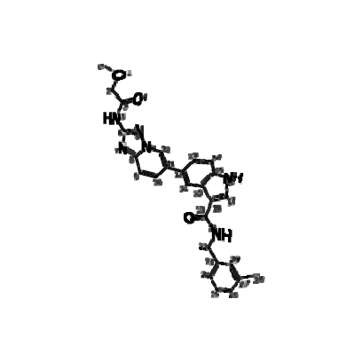 COCC(=O)Nc1nc2ccc(-c3ccc4[nH]cc(C(=O)NCc5cccc(C)c5)c4c3)cn2n1